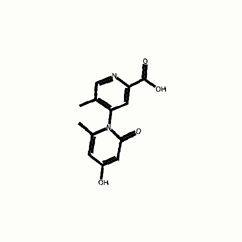 Cc1cnc(C(=O)O)cc1-n1c(C)cc(O)cc1=O